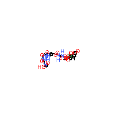 CCC(=O)O[C@]1(C(=O)COCNC(=O)CNC(=O)OCc2ccc(NC(=O)[C@H](C)NC(=O)[C@H](C)NC(=O)CCN3C(=O)C=CC3O)cc2)[C@@H](C)CC2[C@@H]3CCC4=CC(=O)C=C[C@]4(C)[C@@]3(Cl)[C@@H](O)C[C@@]21C